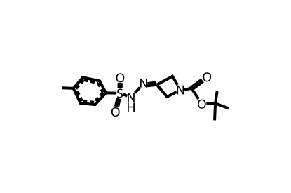 Cc1ccc(S(=O)(=O)NN=C2CN(C(=O)OC(C)(C)C)C2)cc1